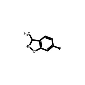 CC1NOc2cc(F)ccc21